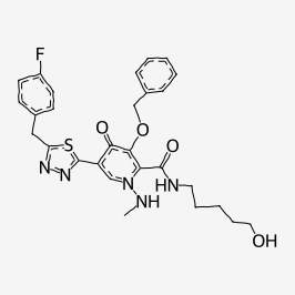 CNn1cc(-c2nnc(Cc3ccc(F)cc3)s2)c(=O)c(OCc2ccccc2)c1C(=O)NCCCCCO